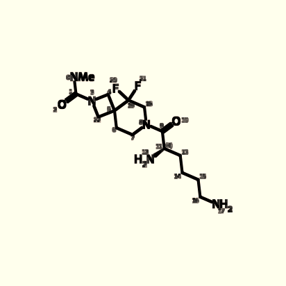 CNC(=O)N1CC2(CCN(C(=O)[C@H](N)CCCCN)CC2(F)F)C1